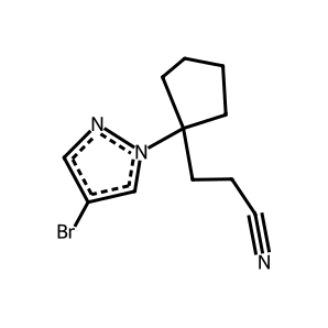 N#CCCC1(n2cc(Br)cn2)CCCC1